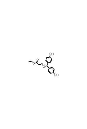 CCOC(=O)C=NOC(c1ccc(O)cc1)c1ccc(O)cc1